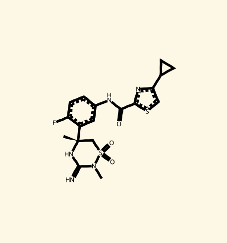 CN1C(=N)N[C@](C)(c2cc(NC(=O)c3nc(C4CC4)cs3)ccc2F)CS1(=O)=O